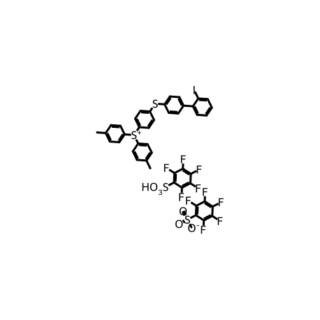 Cc1ccc([S+](c2ccc(C)cc2)c2ccc(Sc3ccc(-c4ccccc4I)cc3)cc2)cc1.O=S(=O)(O)c1c(F)c(F)c(F)c(F)c1F.O=S(=O)([O-])c1c(F)c(F)c(F)c(F)c1F